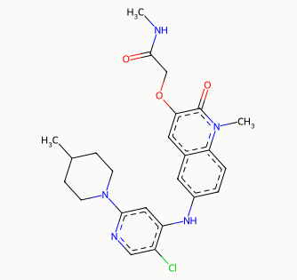 CNC(=O)COc1cc2cc(Nc3cc(N4CCC(C)CC4)ncc3Cl)ccc2n(C)c1=O